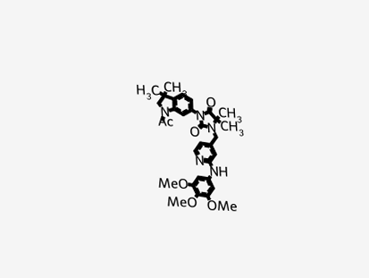 COc1cc(Nc2cc(CN3C(=O)N(c4ccc5c(c4)N(C(C)=O)CC5(C)C)C(=O)C3(C)C)ccn2)cc(OC)c1OC